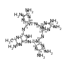 Cc1nc2c3nc4nc(nc5[nH]c(nc6nc(nc([nH]3)c2nc1N)-c1nc(N)c(N)nc1-6)c1nc(N)c(N)nc51)-c1nc(N)c(N)nc1-4